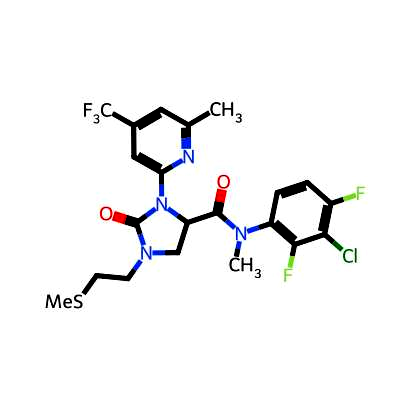 CSCCN1CC(C(=O)N(C)c2ccc(F)c(Cl)c2F)N(c2cc(C(F)(F)F)cc(C)n2)C1=O